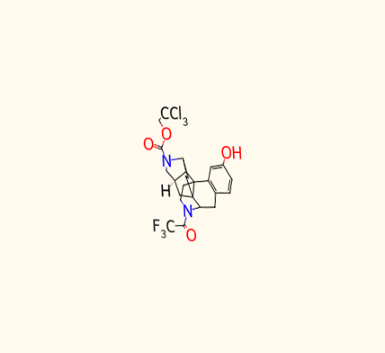 O=C(OCC(Cl)(Cl)Cl)N1C[C@@H]2CC34CCC1C2C31CCN(C(=O)C(F)(F)F)C4Cc2ccc(O)cc21